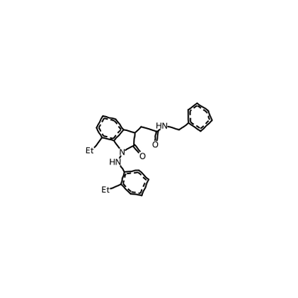 CCc1ccccc1NN1C(=O)C(CC(=O)NCc2ccccc2)c2cccc(CC)c21